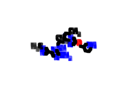 C=C/C=C\C(=C/C(C)CNc1nc(-c2cnn(C)c2)cnc1N)c1ncc(OCC2CCCNC2)cn1